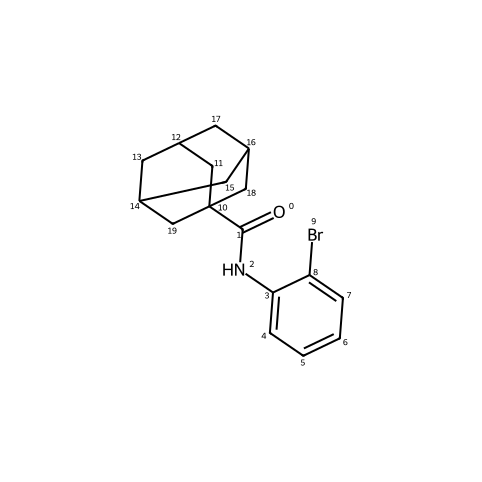 O=C(Nc1ccccc1Br)C12CC3CC(CC(C3)C1)C2